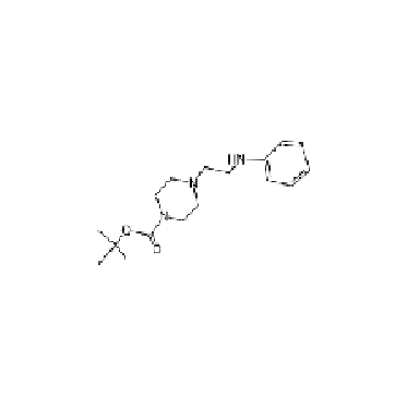 CC(C)(C)OC(=O)N1CCN(CCNc2ccccc2)CC1